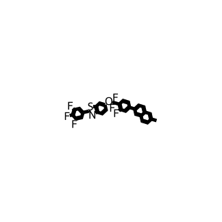 Cc1ccc2cc(-c3ccc(C(F)(F)Oc4ccc5nc(-c6cc(F)c(F)c(F)c6)sc5c4)c(F)c3)ccc2c1